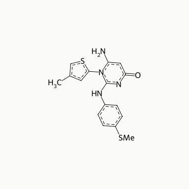 CSc1ccc(Nc2nc(=O)cc(N)n2-c2cc(C)cs2)cc1